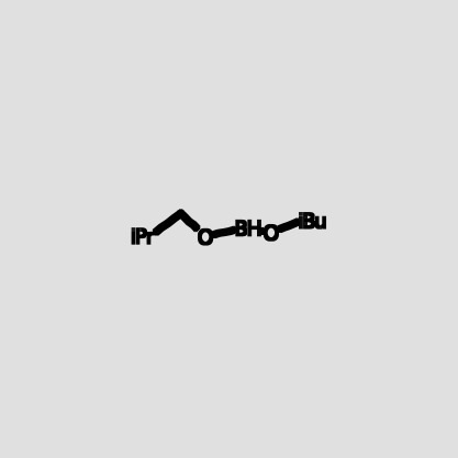 CCC(C)OBOCC(C)C